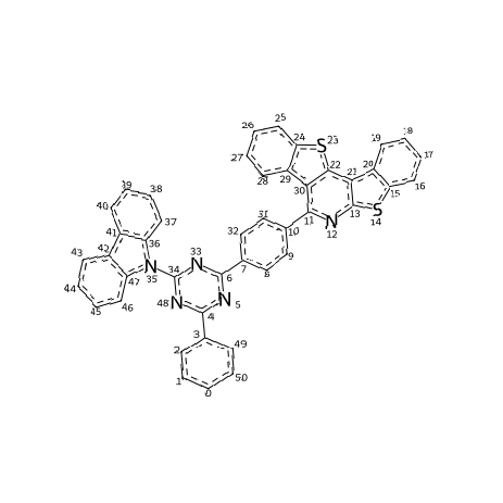 c1ccc(-c2nc(-c3ccc(-c4nc5sc6ccccc6c5c5sc6ccccc6c45)cc3)nc(-n3c4ccccc4c4ccccc43)n2)cc1